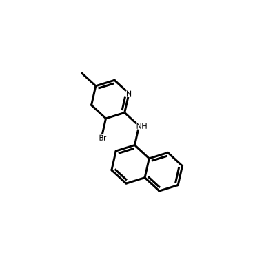 CC1=CN=C(Nc2cccc3ccccc23)C(Br)C1